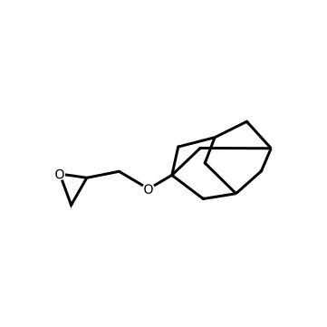 C1C2CC3CC1CC(OCC1CO1)(C2)C3